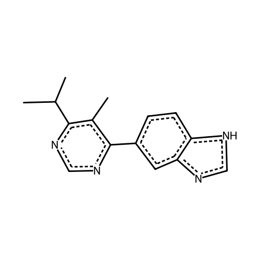 Cc1c(-c2ccc3[nH]cnc3c2)ncnc1C(C)C